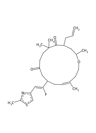 C=CCC1CC(C)OCCC(C)=CCC(C(F)=Cc2csc(C)n2)CC(=O)CCC(C)(C)C1=O